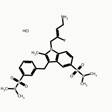 Cc1c(Cc2cccc(S(=O)(=O)N(C)C)c2)c2cc(S(=O)(=O)N(C)C)ccc2n1C/C(F)=C/CN.Cl